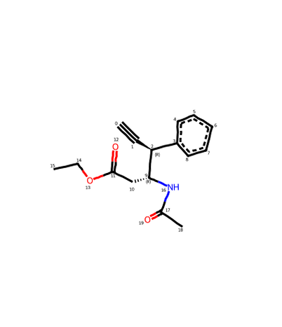 C#C[C@@H](c1ccccc1)[C@@H](CC(=O)OCC)NC(C)=O